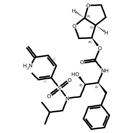 C=C(N)/C=C\C(=C/C)S(=O)(=O)N(CC(C)C)C[C@@H](O)[C@H](Cc1ccccc1)NC(=O)O[C@H]1CO[C@H]2OCC[C@H]21